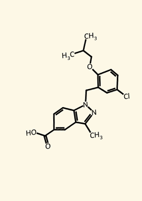 Cc1nn(Cc2cc(Cl)ccc2OCC(C)C)c2ccc(C(=O)O)cc12